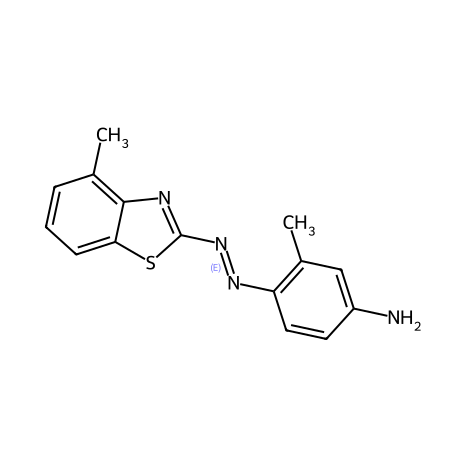 Cc1cc(N)ccc1/N=N/c1nc2c(C)cccc2s1